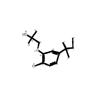 CCC(C)(C)c1ccc(Cl)c(OCC(C)(C)O)c1